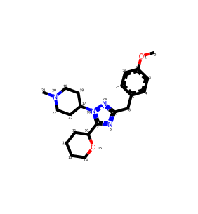 COc1ccc(Cc2nc(C3CCCCO3)n(C3CCN(C)CC3)n2)cc1